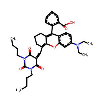 CCCCN1C(=O)C(=CC2=C3Oc4cc(N(CC)CC)ccc4C(c4ccccc4C(=O)O)=C3CCC2)C(=O)N(CCCC)C1=O